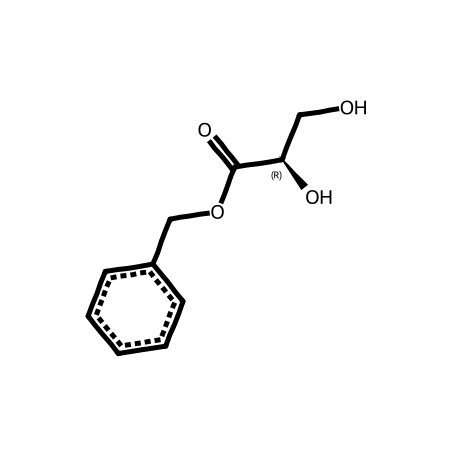 O=C(OCc1ccccc1)[C@H](O)CO